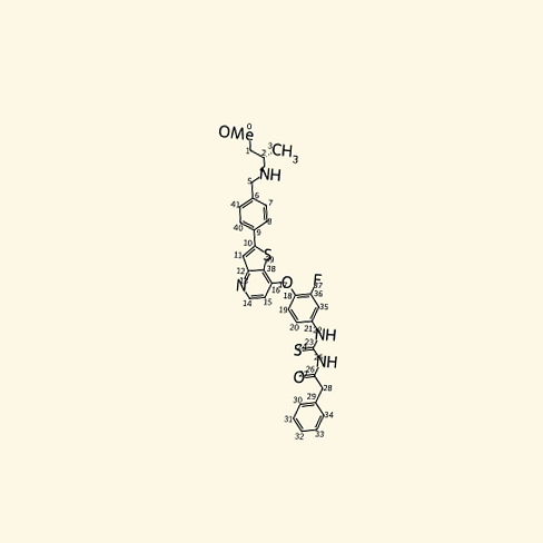 COC[C@H](C)NCc1ccc(-c2cc3nccc(Oc4ccc(NC(=S)NC(=O)Cc5ccccc5)cc4F)c3s2)cc1